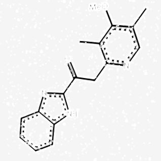 COc1c(C)cnc(CC(=O)c2nc3ccccc3[nH]2)c1C